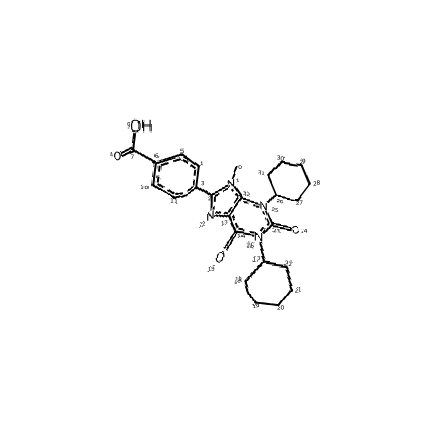 Cn1c(-c2ccc(C(=O)O)cc2)nc2c(=O)n(C3CCCCC3)c(=O)n(C3CCCCC3)c21